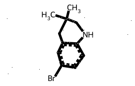 CC1(C)CNc2ccc(Br)cc2C1